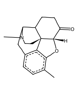 Cc1ccc2c3c1O[C@H]1C(=O)CCC4C(C2)N(C)CC[C@@]341